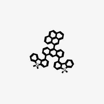 C[Si]1(C)c2ccccc2-c2c(-c3cccc4c(-c5cc6cccc7ccc8cccc5c8c76)c5cccc(-c6cccc7c6-c6ccccc6[Si]7(C)C)c5cc34)cccc21